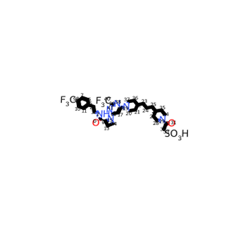 O=C(NCCc1ccc(C(F)(F)F)cc1)[C@@H]1CCN1c1cc(N2CCC(CCCC3CCN(C(=O)CS(=O)(=O)O)CC3)CC2)nc(C(F)(F)F)n1